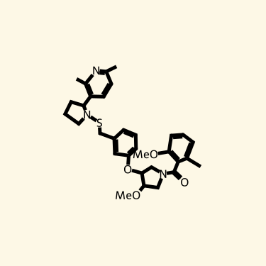 COc1cccc(C)c1C(=O)N1CC(OC)C(Oc2cccc(CSN3CCCC3c3ccc(C)nc3C)c2)C1